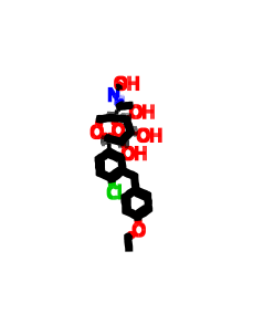 CCOc1ccc(Cc2cc([C@]34OC[C@](/C(C)=N/O)(O3)[C@@H](O)[C@H](O)[C@H]4O)ccc2Cl)cc1